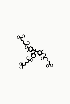 COC(=O)CCCC(=O)Oc1ccc(C(C)(c2ccc(OC(=O)CCCC(=O)OC)c(C)c2)c2ccc(OC(=O)CCCC(=O)OC)c(C)c2)cc1